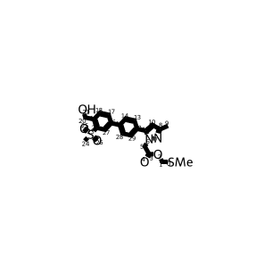 CSCOC(=O)Cn1nc(C)cc1-c1ccc(-c2ccc(CO)c(S(C)(=O)=O)c2)cc1